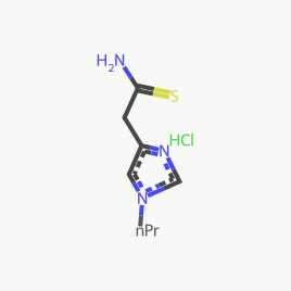 CCCn1cnc(CC(N)=S)c1.Cl